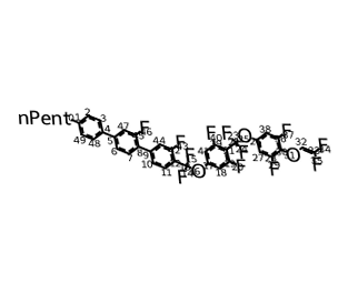 CCCCCc1ccc(-c2ccc(-c3ccc(C(F)(F)Oc4cc(F)c(C(F)(F)Oc5cc(F)c(OC=C(F)F)c(F)c5)c(F)c4)c(F)c3)c(F)c2)cc1